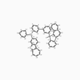 CC1(c2cccc(-c3cccc(N(c4ccccc4)c4ccc5c(c4)sc4ccccc45)c3)c2)c2ccccc2-c2ccc3ccccc3c21